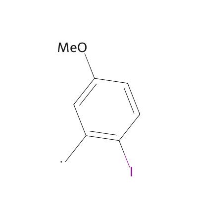 [CH2]c1cc(OC)ccc1I